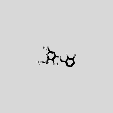 NNc1nc(N)cc(OCc2cccc(F)c2F)c1N